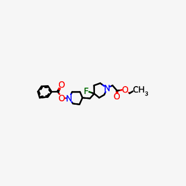 CCOC(=O)CN1CCC(F)(CC2CCN(OC(=O)c3ccccc3)CC2)CC1